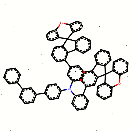 c1ccc(-c2cccc(-c3ccc(N(c4cccc(-c5cccc6c5-c5ccccc5C65c6ccccc6Oc6ccccc65)c4)c4ccccc4-c4ccc5c(c4)C4(c6ccccc6Oc6ccccc64)c4ccccc4-5)cc3)c2)cc1